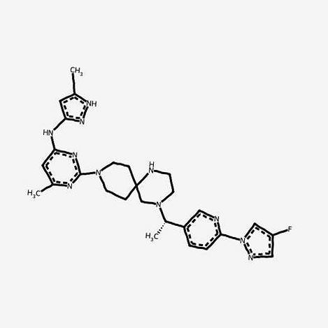 Cc1cc(Nc2cc(C)[nH]n2)nc(N2CCC3(CC2)CN([C@@H](C)c2ccc(-n4cc(F)cn4)nc2)CCN3)n1